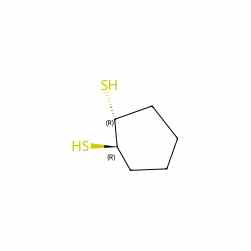 S[C@@H]1CCCC[C@H]1S